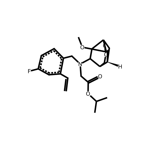 C=Cc1cc(F)ccc1CN(CC(=O)OC(C)C)C1CC23CCCC1[C@H](CC2OC)C3